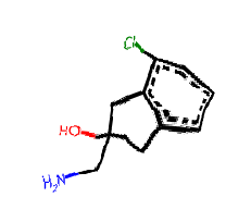 NCC1(O)Cc2cccc(Cl)c2C1